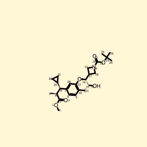 COC(=O)[C@@H](C)[C@H](c1ccc(I)c(O[C@@H](CO)C2CN(C(=O)OC(C)(C)C)C2)c1)C1CC1